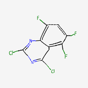 Fc1cc(F)c2nc(Cl)nc(Cl)c2c1F